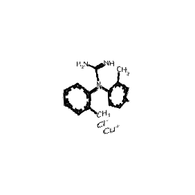 Cc1ccccc1N(C(=N)N)c1ccccc1C.[Cl-].[Cu+]